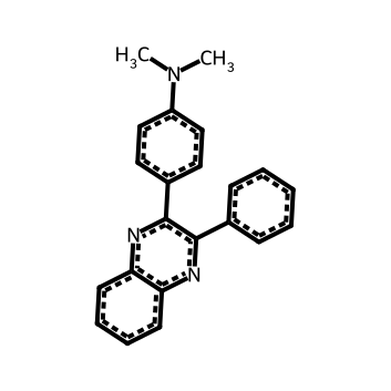 CN(C)c1ccc(-c2nc3ccccc3nc2-c2ccccc2)cc1